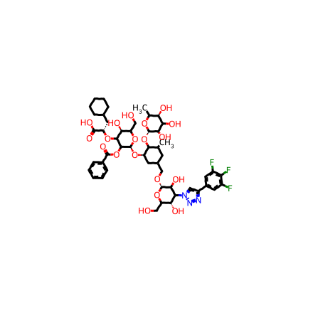 CC1CC(CO[C@H]2OC(CO)[C@@H](O)C(n3cc(-c4cc(F)c(F)c(F)c4)nn3)C2O)C[C@@H](O[C@@H]2OC(CO)[C@H](O)C(O[C@@H](CC3CCCCC3)C(=O)O)C2OC(=O)c2ccccc2)C1O[C@@H]1OC(C)[C@@H](O)C(O)C1O